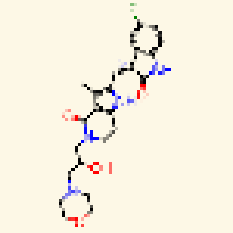 Cc1c(/C=C2\C(=O)Nc3ccc(F)cc32)[nH]c2c1C(=O)N(CC(O)CN1CCOCC1)CC2